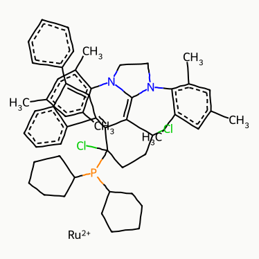 Cc1cc(C)c(N2CCN(c3c(C)cc(C)cc3C)C2=C2C(=C3C=C(c4ccccc4)c4ccccc43)C(Cl)(P(C3CCCCC3)C3CCCCC3)CCC2Cl)c(C)c1.[Ru+2]